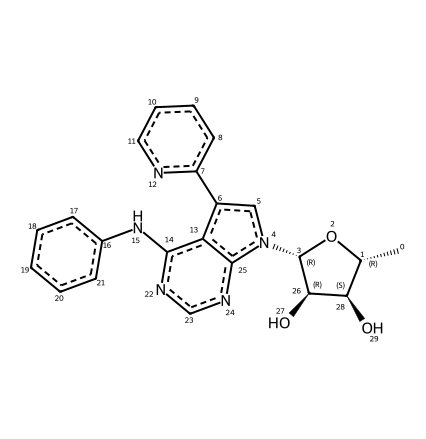 C[C@H]1O[C@@H](n2cc(-c3ccccn3)c3c(Nc4ccccc4)ncnc32)[C@H](O)[C@@H]1O